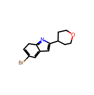 BrC1=CCC2=NC(C3CCOCC3)=CC2=C1